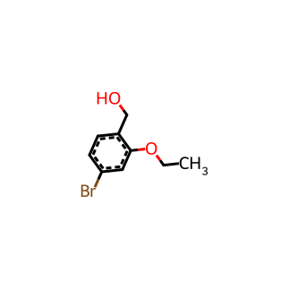 CCOc1cc(Br)ccc1CO